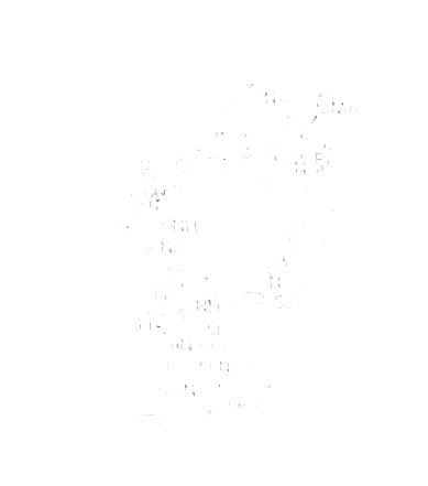 C=CCN1CC2(C1)OCCCN2C(=O)N(C)[C@H](C(=O)N[C@H]1Cc2nc(cs2)-c2ccc3c(c2)c(c(-c2cccnc2[C@H](C)OC)n3CC)CC(C)(C)COC(=O)[C@@H]2CCCN(N2)C1=O)C(C)C